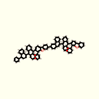 c1ccc(-c2ccc(-c3c4ccccc4c(-c4ccc5c(oc6cc(-c7ccc8cc(-c9c%10ccccc%10c(-c%10ccc%11c(oc%12ccccc%12%11)c%10-c%10ccccc%10)c%10ccccc9%10)c9ccccc9c8c7)ccc65)c4-c4ccccc4)c4ccccc34)c3ccccc23)cc1